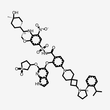 CC(C)c1ccccc1[C@H]1CCCN1C1CC2(CCN(c3ccc(C(=O)NS(=O)(=O)c4cc5c(c([N+](=O)[O-])c4)N[C@@H]([C@H]4CC[C@](C)(O)CC4)CO5)c(Oc4cc5cc[nH]c5nc4OC4CCS(=O)(=O)C4)c3)CC2)C1